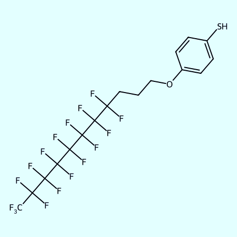 FC(F)(F)C(F)(F)C(F)(F)C(F)(F)C(F)(F)C(F)(F)C(F)(F)C(F)(F)CCCOc1ccc(S)cc1